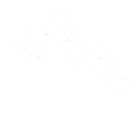 CN(Cc1c2ccccc2cn1-c1cn[nH]c(=O)c1C(F)(F)F)c1cccc(C(=O)N2CCN(c3ccccn3)CC2)c1